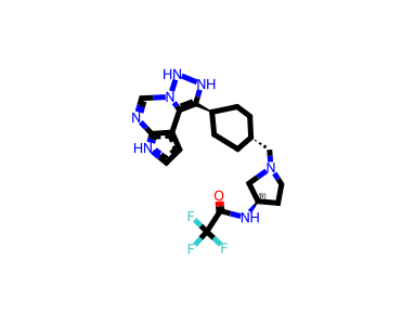 O=C(N[C@@H]1CCN(C[C@H]2CC[C@H](C3=C4c5cc[nH]c5N=CN4NN3)CC2)C1)C(F)(F)F